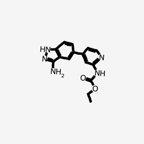 CCOC(=O)Nc1cc(-c2ccc3[nH]nc(N)c3c2)ccn1